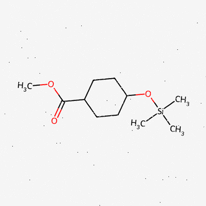 COC(=O)C1CCC(O[Si](C)(C)C)CC1